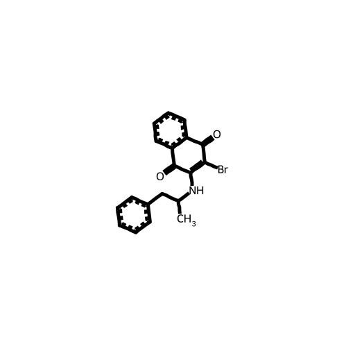 CC(Cc1ccccc1)NC1=C(Br)C(=O)c2ccccc2C1=O